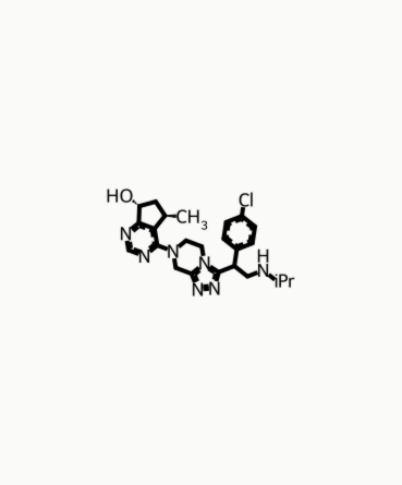 CC(C)NCC(c1ccc(Cl)cc1)c1nnc2n1CCN(c1ncnc3c1[C@H](C)C[C@H]3O)C2